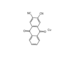 N#Cc1cc2c(cc1C#N)C(=O)c1ccccc1C2=O.[Cu]